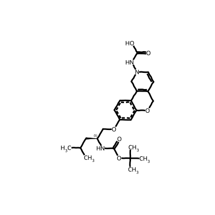 CC(C)C[C@@H](COc1ccc2c(c1)OCC1=C2CN(NC(=O)O)C=C1)NC(=O)OC(C)(C)C